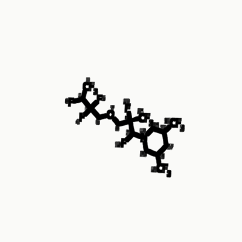 FC(C(F)(F)F)C(F)(F)COC[C@](F)(C(F)N1CC(C(F)(F)F)CC(C(F)(F)F)C1)C(F)(F)F